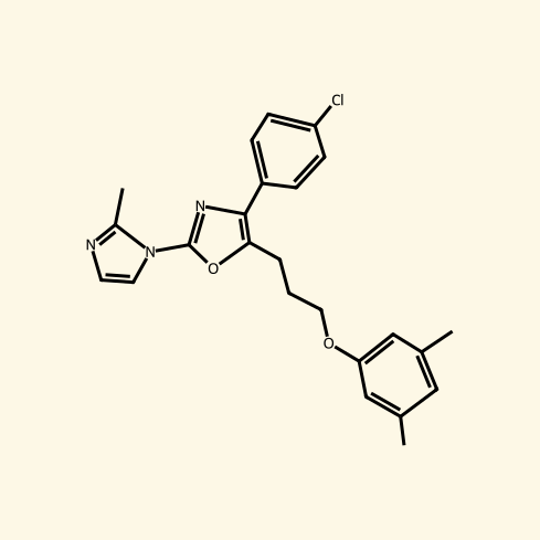 Cc1cc(C)cc(OCCCc2oc(-n3ccnc3C)nc2-c2ccc(Cl)cc2)c1